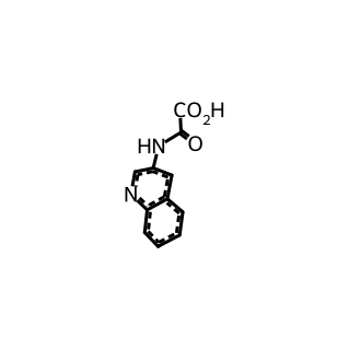 O=C(O)C(=O)Nc1cnc2ccccc2c1